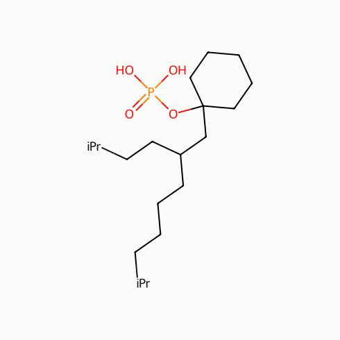 CC(C)CCCCC(CCC(C)C)CC1(OP(=O)(O)O)CCCCC1